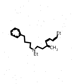 C=C(/C=C\C=C/CC)CCN(CC)CCCCc1ccccc1